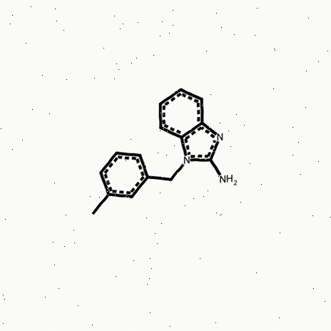 Cc1cccc(Cn2c(N)nc3ccccc32)c1